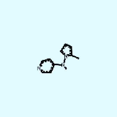 Cc1cccn1N(C)c1ccncc1